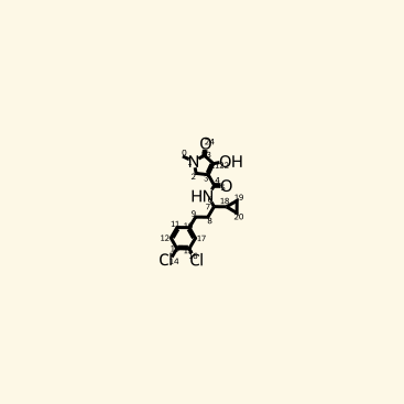 CN1CC(C(=O)NC(CCc2ccc(Cl)c(Cl)c2)C2CC2)=C(O)C1=O